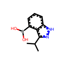 CC(C)c1n[nH]c2cccc(B(O)O)c12